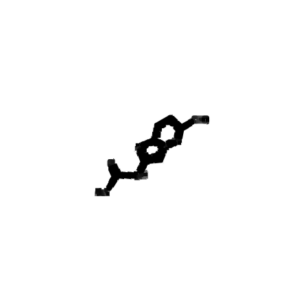 CNC(=O)Nc1cn2nc(C=O)ccc2n1